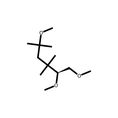 COC[C@@H](OC)C(C)(C)CC(C)(C)OC